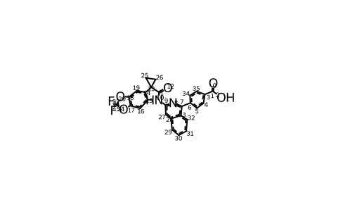 O=C(O)c1ccc(-c2nc(NC(=O)C3(c4ccc5c(c4)OC(F)(F)O5)CC3)cc3ccccc23)cc1